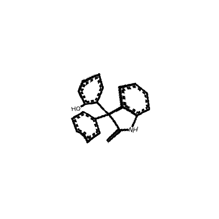 C=C1Nc2ccccc2C1(c1ccccc1)c1ccccc1O